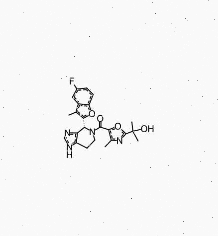 Cc1nc(C(C)(C)O)oc1C(=O)N1CCc2[nH]cnc2[C@@H]1c1oc2ccc(F)cc2c1C